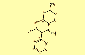 Cl.NC1CCC(OC(CF)c2ccccc2)C(F)C1